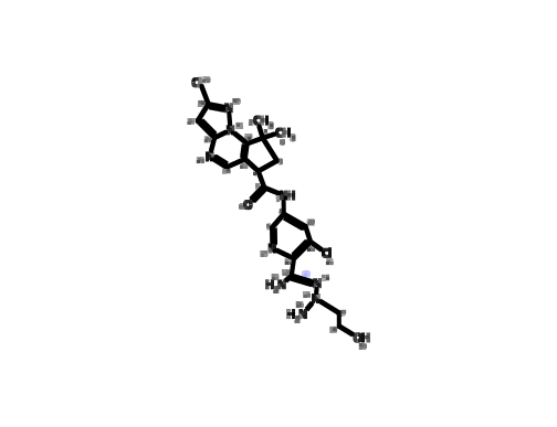 CC1(C)CC(C(=O)Nc2cnc(/C(N)=N/N(N)CCO)c(Cl)c2)c2cnc3cc(Cl)nn3c21